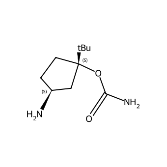 CC(C)(C)[C@]1(OC(N)=O)CC[C@H](N)C1